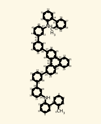 Cc1ccccc1-c1ccccc1Nc1cccc(-c2cccc(-c3ccc4c5ccccc5c5ccc(-c6cccc(-c7cccc(Nc8ccccc8-c8ccccc8C)c7)c6)cc5c4c3)c2)c1